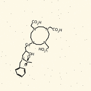 CS(=O)(=O)N(Cc1ccccc1)CC(O)[CH2][Gd][N]1CCN(CC(=O)O)CCN(CC(=O)O)CCN(CC(=O)O)CC1